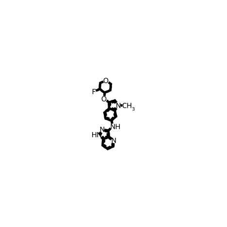 Cn1cc(OC2CCOCC2F)c2ccc(Nc3n[nH]c4cccnc34)cc21